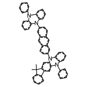 CC1(C)c2ccccc2-c2cc3c(cc21)N(c1ccc2cc4cc(N5c6ccccc6N(c6ccccc6)c6ccccc65)ccc4cc2c1)c1ccccc1N3c1ccccc1